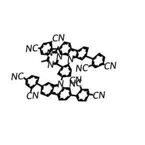 Cc1nc(C)nc(-c2cc(-n3c4cc(-c5ccc(C#N)cc5C#N)ccc4c4ccc(-c5ccc(C#N)cc5C#N)cc43)c(C#N)cc2-n2c3cc(-c4ccc(C#N)cc4C#N)ccc3c3ccc(-c4ccc(C#N)cc4C#N)cc32)n1